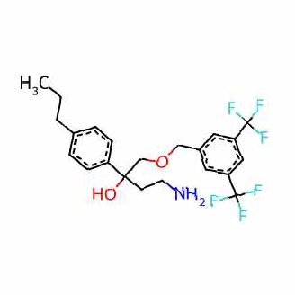 CCCc1ccc(C(O)(CCN)COCc2cc(C(F)(F)F)cc(C(F)(F)F)c2)cc1